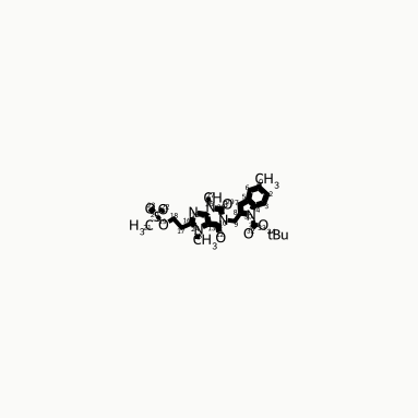 Cc1ccc2c(c1)cc(Cn1c(=O)c3c(nc(CCOS(C)(=O)=O)n3C)n(C)c1=O)n2C(=O)OC(C)(C)C